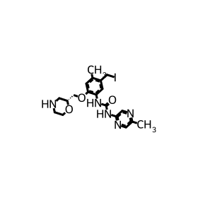 Cc1cnc(NC(=O)Nc2cc(CI)c(C)cc2OC[C@H]2CNCCO2)cn1